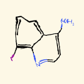 Nc1ccnc2c(I)cccc12